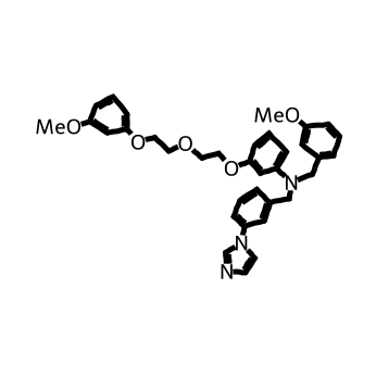 COc1cccc(CN(Cc2cccc(-n3ccnc3)c2)c2cccc(OCCOCCOc3cccc(OC)c3)c2)c1